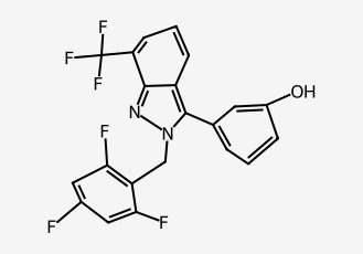 Oc1cccc(-c2c3cccc(C(F)(F)F)c3nn2Cc2c(F)cc(F)cc2F)c1